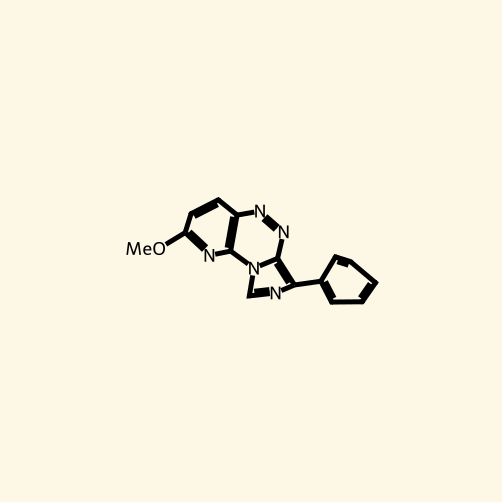 COc1ccc2nnc3c(-c4ccccc4)ncn3c2n1